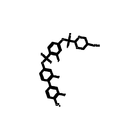 CCCCCCC1COC(C(F)(F)Oc2ccc(C(F)(F)Oc3ccc(-c4ccc(C(F)(F)F)c(F)c4)c(F)c3)c(F)c2)OC1